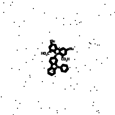 CC(C)(C)c1cc(C(=O)O)c2c(c1)c1cc(C(C)(C)C)cc(C(=O)O)c1n2-c1ccc2c3ccccc3n(-c3ccccc3)c2c1